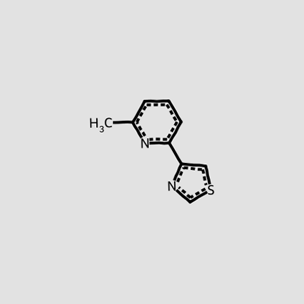 Cc1cccc(-c2cscn2)n1